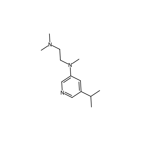 CC(C)c1cncc(N(C)CCN(C)C)c1